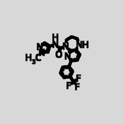 Cn1cc(NC(=O)N2CCCNc3ccc(-c4cccc(C(F)(F)F)c4)nc32)cn1